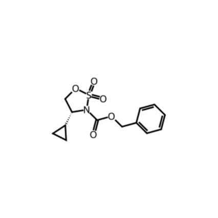 O=C(OCc1ccccc1)N1[C@H](C2CC2)COS1(=O)=O